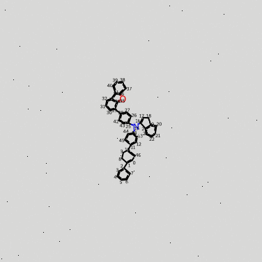 C1=C(c2ccccc2)CCC(c2ccc(N(C3=CCc4ccccc43)c3ccc(-c4cccc5c4oc4ccccc45)cc3)cc2)=C1